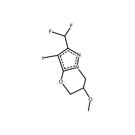 COC1COc2c(I)c(C(F)F)nn2C1